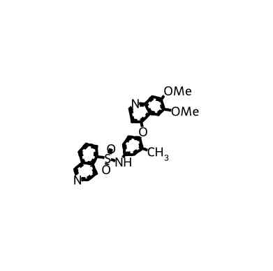 COc1cc2nccc(Oc3ccc(NS(=O)(=O)c4cccc5cnccc45)cc3C)c2cc1OC